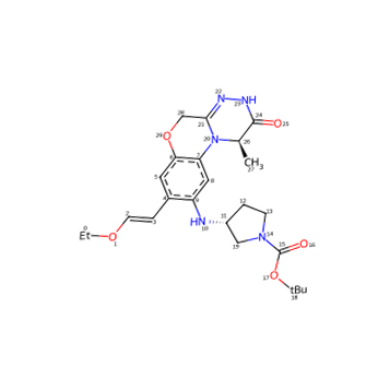 CCOC=Cc1cc2c(cc1N[C@@H]1CCN(C(=O)OC(C)(C)C)C1)N1C(=NNC(=O)[C@H]1C)CO2